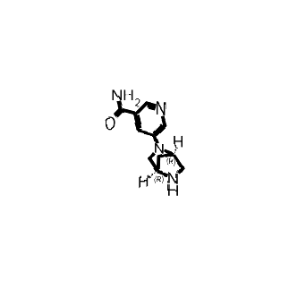 NC(=O)c1cncc(N2C[C@H]3C[C@@H]2CN3)c1